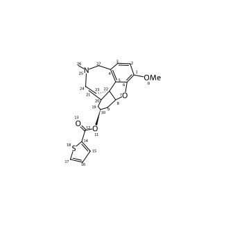 COc1ccc2c3c1OC1C[C@@H](OC(=O)c4cccs4)CC(C)[C@@]31CCN(C)C2